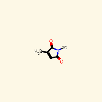 BC1=CC(=O)N(CC)C1=O